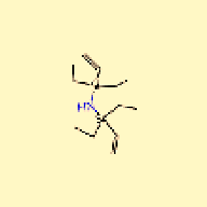 C=C[Si](CC)(CC)N[Si](C=C)(CC)CC